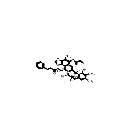 COc1c(C)cc2c(c1O)[C@H]1C3Cc4c(OC(=O)CI)c(C)c5c(c4[C@H](CNC(=O)CCc4ccccc4)N3[C@@H](C#N)[C@@H](C2)N1C)OCO5